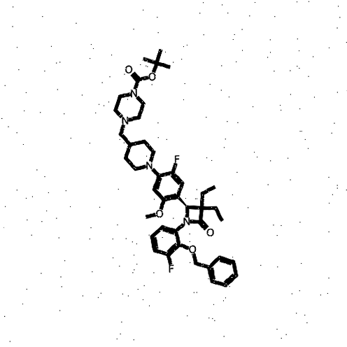 CCC1(CC)C(=O)N(c2cccc(F)c2OCc2ccccc2)[C@H]1c1cc(F)c(N2CCC(CN3CCN(C(=O)OC(C)(C)C)CC3)CC2)cc1OC